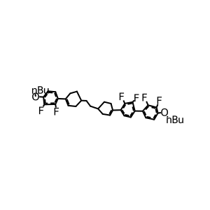 CCCCOc1ccc(C2=CCC(CCC3CC=C(c4ccc(-c5ccc(OCCCC)c(F)c5F)c(F)c4F)CC3)CC2)c(F)c1F